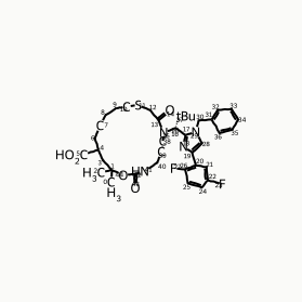 CC1(C)CC(C(=O)O)CCCCCSCC(=O)N([C@@H](c2nc(-c3cc(F)ccc3F)cn2Cc2ccccc2)C(C)(C)C)CCCNC(=O)O1